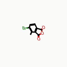 Cc1c(Br)ccc2c1C(=O)OC2=O